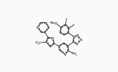 COc1ccc(-n2nnnc2-c2cc(-c3cc(C)c(-c4cccnc4)s3)cnc2N)c(F)c1F